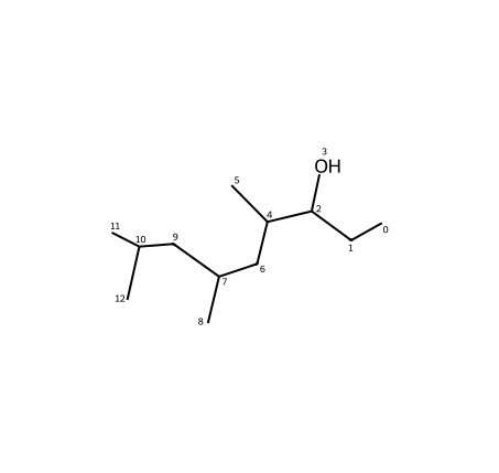 CCC(O)C(C)CC(C)CC(C)C